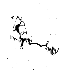 CCCCOC(=O)CCCNC(=O)[C@@H](NC(=O)OC(C)(C)C)C(C)C